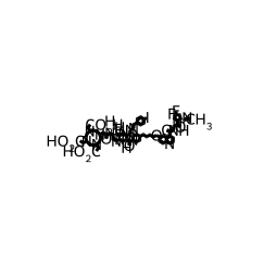 C/N=C/[C@H]1CC(F)(F)CN1C(=O)CNC(=O)c1ccnc2ccc(OCCCCC3CCN(C(=O)CCN/N=C\[C@H](C/C=N/NCN/N=C/c4ccc(I)cc4)NC(=O)CN4CCN(CC(=O)O)CCN(CC(=O)O)CCN(CC(=O)O)CC4)CC3)cc12